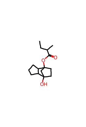 CCC(C)C(=O)OC12CCC(O)(C1)C1CCCC12